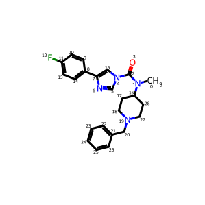 CN(C(=O)n1cnc(-c2ccc(F)cc2)c1)C1CCN(Cc2ccccc2)CC1